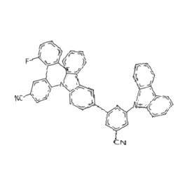 N#Cc1cc(-c2ccc3c(c2)c2ccccc2n3-c2ccc(C#N)cc2-c2c(F)cccc2F)cc(-n2c3ccccc3c3ccccc32)c1